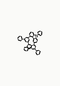 c1ccc(-c2cc(-c3ccccc3)cc(-c3ccc4c(c3)c3c(-c5cc(-c6ccccc6)cc(-c6ccccc6)c5)cccc3n4-c3ccccc3)c2)cc1